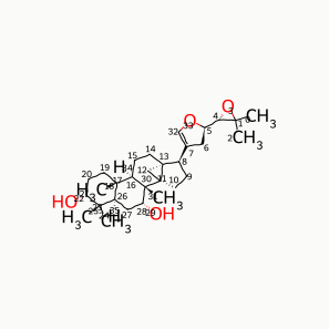 CC1(C)O[C@H]1[C@H]1CC([C@H]2CC[C@]34C[C@]23CC[C@@H]2[C@@]3(C)CC[C@@H](O)C(C)(C)[C@@H]3C[C@@H](O)[C@]24C)=CO1